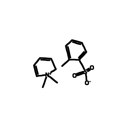 C[N+]1(C)C=CC=CC1.Cc1ccccc1S(=O)(=O)[O-]